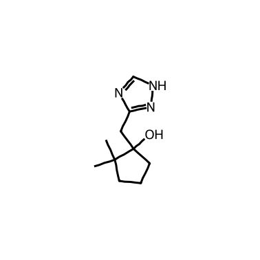 CC1(C)CCCC1(O)Cc1nc[nH]n1